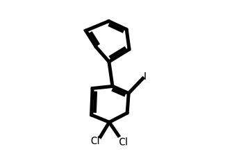 ClC1(Cl)C=CC(c2ccccc2)=C(I)C1